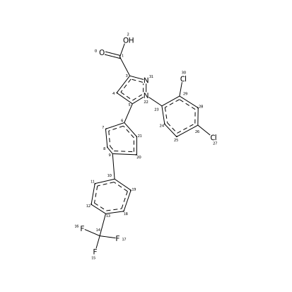 O=C(O)c1cc(-c2ccc(-c3ccc(C(F)(F)F)cc3)cc2)n(-c2ccc(Cl)cc2Cl)n1